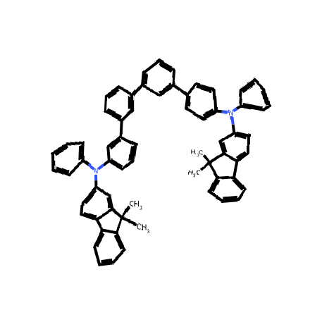 CC1(C)c2ccccc2-c2ccc(N(c3ccccc3)c3ccc(-c4cccc(-c5cccc(-c6cccc(N(c7ccccc7)c7ccc8c(c7)C(C)(C)c7ccccc7-8)c6)c5)c4)cc3)cc21